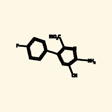 CCOC(=O)c1nc(N)c(C#N)cc1-c1ccc(F)cc1